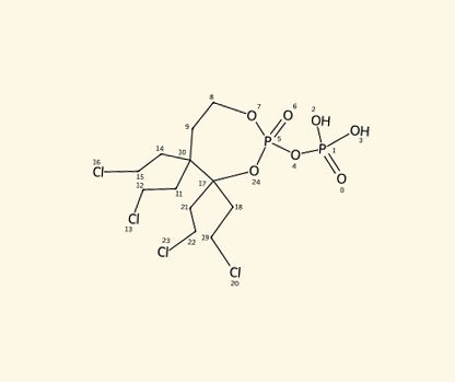 O=P(O)(O)OP1(=O)OCCC(CCCl)(CCCl)C(CCCl)(CCCl)O1